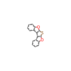 c1ccc2c(c1)oc1sc3oc4ccccc4c3c12